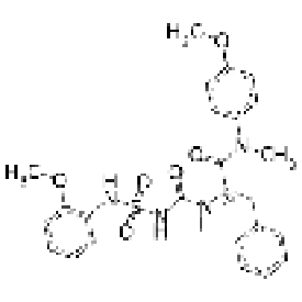 COc1ccc(N(C)C(=O)[C@H](Cc2ccccc2)NC(=O)NS(=O)(=O)Nc2ccccc2OC)cc1